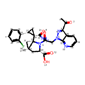 CC(=O)c1nn(CC(=O)N2[C@H](C(=O)O)C[C@H]3C[C@@]32[C@]2(C(N)=O)C[C@H]2c2ccccc2F)c2ncccc12